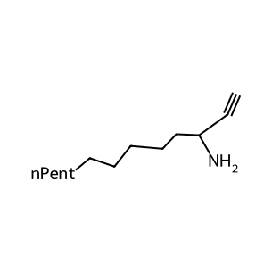 C#CC(N)CCCCCCCCCC